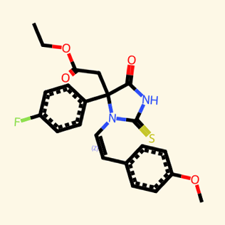 CCOC(=O)CC1(c2ccc(F)cc2)C(=O)NC(=S)N1/C=C\c1ccc(OC)cc1